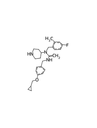 C=C(NCc1ccc(OCC2CC2)cc1)N(Cc1ccc(F)cc1C)C1CCNCC1